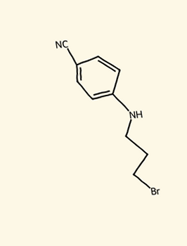 N#Cc1ccc(NCCCBr)cc1